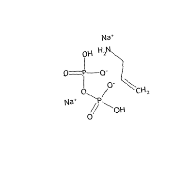 C=CCN.O=P([O-])(O)OP(=O)([O-])O.[Na+].[Na+]